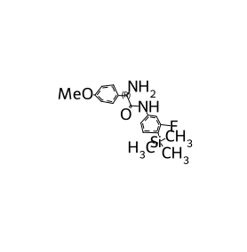 COc1ccc([C@@H](N)C(=O)Nc2ccc([Si](C)(C)C)c(F)c2)cc1